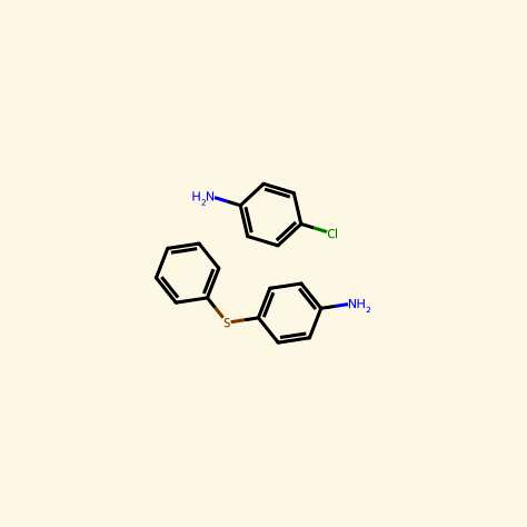 Nc1ccc(Cl)cc1.Nc1ccc(Sc2ccccc2)cc1